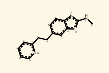 CNc1nc2ccc(CCc3ccccn3)cc2s1